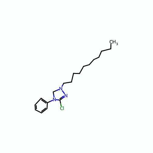 CCCCCCCCCCCN1CN(c2ccccc2)C(Cl)=N1